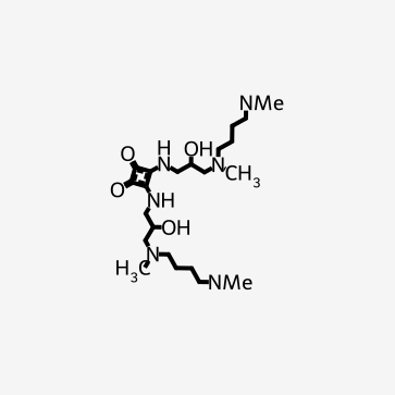 CNCCCCN(C)CC(O)CNc1c(NCC(O)CN(C)CCCCNC)c(=O)c1=O